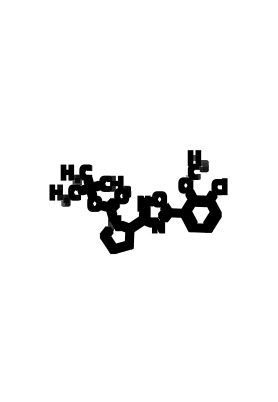 COc1c(Cl)cccc1-c1nc(C2CCCN2C(=O)OC(C)(C)C)no1